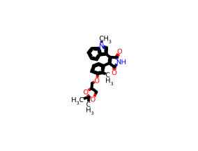 Cc1c(OCC2COC(C)(C)O2)cccc1C1=C(c2cn(C)c3ccccc23)C(=O)NC1=O